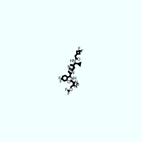 O=C(CC1CC(F)(F)C1)N[C@@H](c1cnn2cc(C(NC(=O)c3nonc3COC(F)F)C3CCC(F)(F)CC3)nc2c1)C1CC1